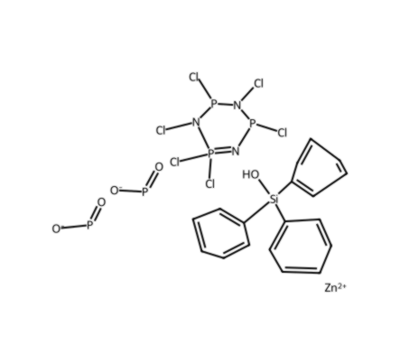 ClN1P(Cl)N=P(Cl)(Cl)N(Cl)P1Cl.O=P[O-].O=P[O-].O[Si](c1ccccc1)(c1ccccc1)c1ccccc1.[Zn+2]